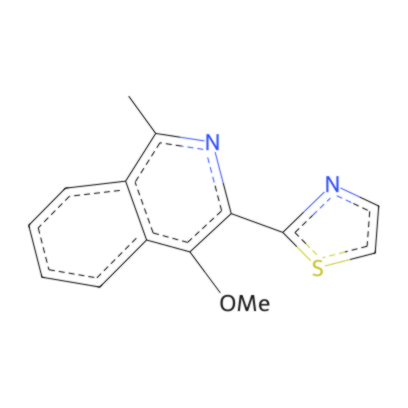 COc1c(-c2nccs2)nc(C)c2ccccc12